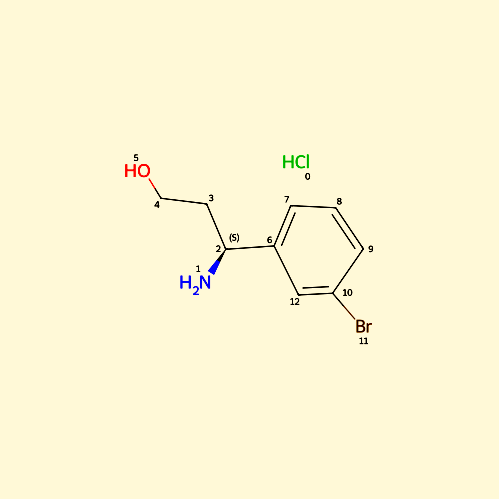 Cl.N[C@@H](CCO)c1cccc(Br)c1